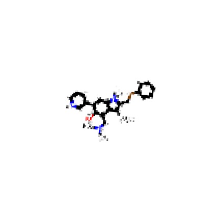 CCOC(=O)c1c(CSc2ccccc2)n(C)c2cc(-c3cccnc3)c(O)c(CN(C)C)c12